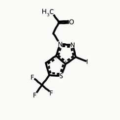 CC(=O)Cn1nc(I)c2sc(C(F)(F)F)cc21